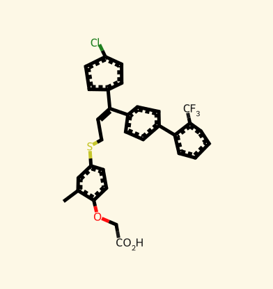 Cc1cc(SCC=C(c2ccc(Cl)cc2)c2ccc(-c3ccccc3C(F)(F)F)cc2)ccc1OCC(=O)O